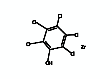 Oc1c(Cl)c(Cl)c(Cl)c(Cl)c1Cl.[Zr]